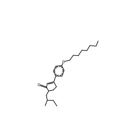 CCCCCCCCOc1ccc(C2=CC(=O)C(CC(C)CC)CC2)cc1